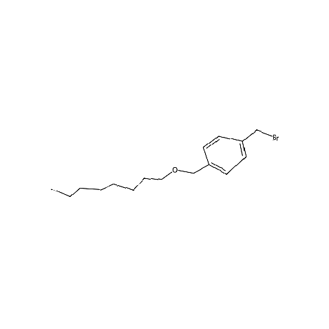 CCCCCCCCOCc1ccc(CBr)cc1